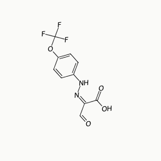 O=CC(=NNc1ccc(OC(F)(F)F)cc1)C(=O)O